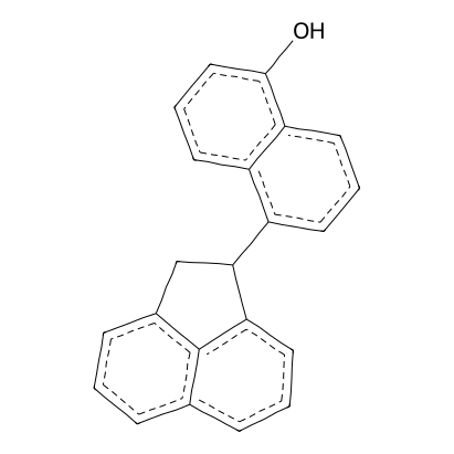 Oc1cccc2c(C3Cc4cccc5cccc3c45)cccc12